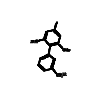 CCOC(=O)c1cccc(-c2c(OC)cc(C)cc2OC)c1